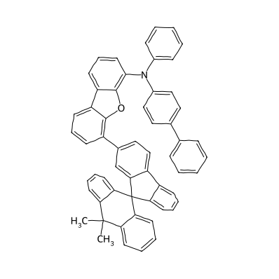 CC1(C)c2ccccc2C2(c3ccccc3-c3ccc(-c4cccc5c4oc4c(N(c6ccccc6)c6ccc(-c7ccccc7)cc6)cccc45)cc32)c2ccccc21